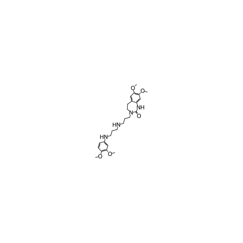 COc1ccc(NCCCNCCCN2CCc3cc(OC)c(OC)cc3NC2=O)cc1OC